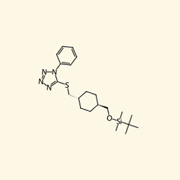 CC(C)(C)[Si](C)(C)OC[C@H]1CC[C@H](CSc2nnnn2-c2ccccc2)CC1